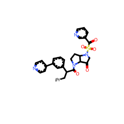 CC(C)CC(C(=O)N1CCC2C1C(=O)CN2S(=O)(=O)C(=O)c1cccnc1)c1cccc(-c2ccncc2)c1